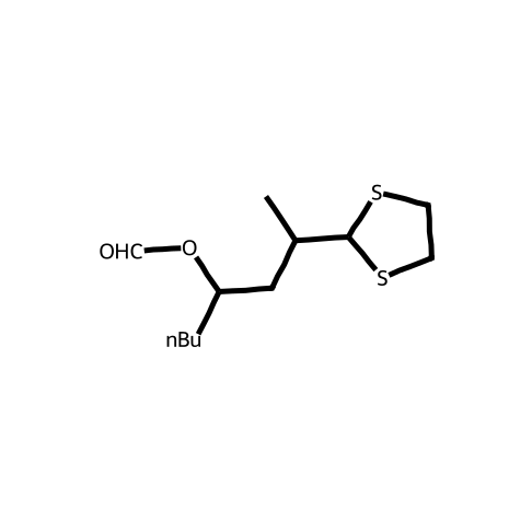 CCCCC(CC(C)C1SCCS1)OC=O